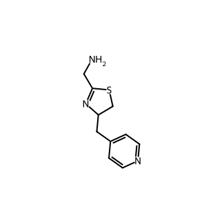 NCC1=NC(Cc2ccncc2)CS1